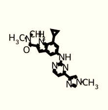 CN(C)C(=O)c1cc2cc(Nc3nccc(-c4cn(C)cn4)n3)cc(C3CC3)c2[nH]1